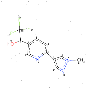 Cn1cc(-c2ccc(C(O)C(F)(F)F)cn2)cn1